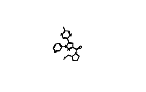 Cc1cnc(-c2cc(C(=O)N3CCC[C@H]3CF)nn2-c2cccnc2)cn1